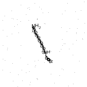 NCCOCCOCCOCCOCCOCCOCCOCCOCCC(=O)NCCCCOc1ccc(Br)cc1